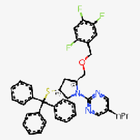 CCCc1cnc(N2C[C@H](SC(c3ccccc3)(c3ccccc3)c3ccccc3)C[C@H]2COCc2cc(F)c(F)cc2F)nc1